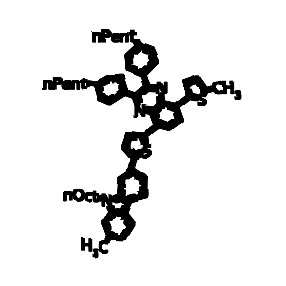 CCCCCCCCn1c2cc(C)ccc2c2ccc(-c3ccc(-c4ccc(-c5ccc(C)s5)c5nc(-c6ccc(CCCCC)cc6)c(-c6ccc(CCCCC)cc6)nc45)s3)cc21